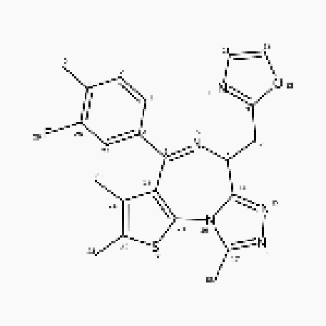 Cc1ccc(C2=NC(Cc3ncco3)c3nnc(C)n3-c3sc(C)c(C)c32)cc1F